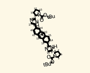 CC(C)(C)OC(=O)N1CCC[C@H]1c1cnc(-c2ccc3c(c2)C2CCC3c3cc(-c4cnc([C@@H]5CCCN5C(=O)OC(C)(C)C)[nH]4)ccc32)[nH]1